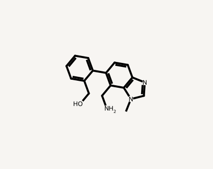 Cn1cnc2ccc(-c3ccccc3CO)c(CN)c21